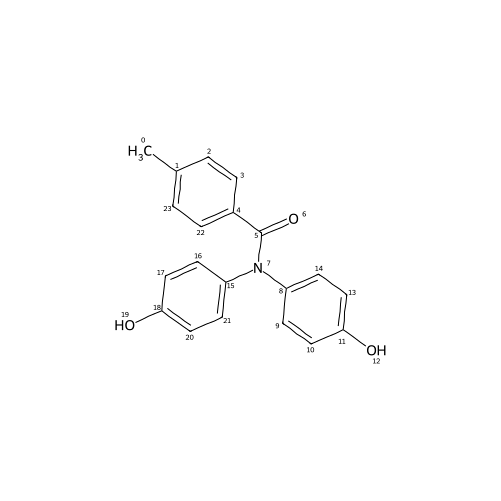 Cc1ccc(C(=O)N(c2ccc(O)cc2)c2ccc(O)cc2)cc1